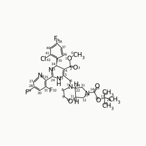 COC(=O)C1=C(CN2CCO[C@@H]3CN(C(=O)OC(C)(C)C)C[C@H]32)NC(c2ncc(F)cc2F)=N[C@H]1c1ccc(F)cc1Cl